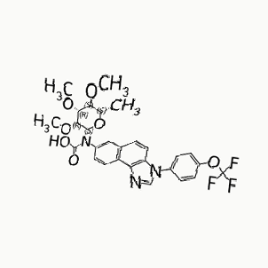 CO[C@@H]1[C@@H](OC)[C@H](C)O[C@H](N(C(=O)O)c2ccc3c(ccc4c3ncn4-c3ccc(OC(F)(F)F)cc3)c2)[C@@H]1OC